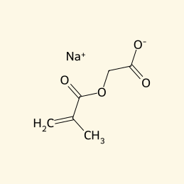 C=C(C)C(=O)OCC(=O)[O-].[Na+]